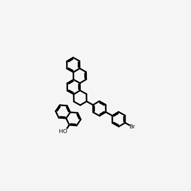 Brc1ccc(-c2ccc(C3CCc4ccc5c(ccc6ccccc65)c4C3)cc2)cc1.Oc1cccc2ccccc12